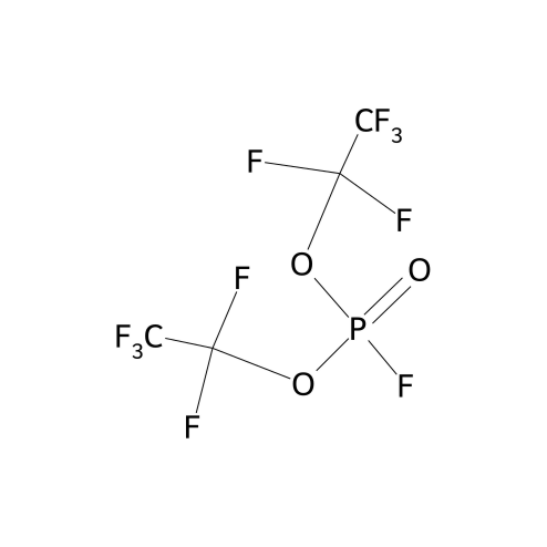 O=P(F)(OC(F)(F)C(F)(F)F)OC(F)(F)C(F)(F)F